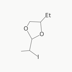 CCC1COC(C(C)I)O1